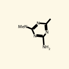 CNc1nc(C)nc(N)n1